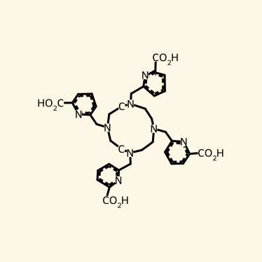 O=C(O)c1cccc(CN2CCN(Cc3cccc(C(=O)O)n3)CCN(Cc3cccc(C(=O)O)n3)CCN(Cc3cccc(C(=O)O)n3)CC2)n1